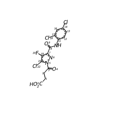 O=C(O)CCC(=O)n1nc(C(=O)Nc2ccc(Cl)cc2Cl)c(F)c1Cl